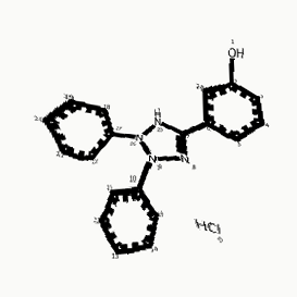 Cl.Oc1cccc(C2=NN(c3ccccc3)N(c3ccccc3)N2)c1